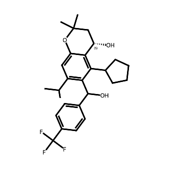 CC(C)c1cc2c(c(C3CCCC3)c1C(O)c1ccc(C(F)(F)F)cc1)[C@@H](O)CC(C)(C)O2